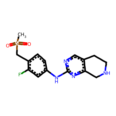 CS(=O)(=O)Cc1ccc(Nc2ncc3c(n2)CNCC3)cc1F